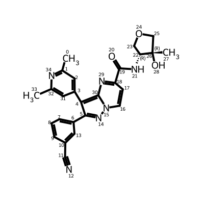 Cc1cc(-c2c(-c3cccc(C#N)c3)nn3ccc(C(=O)N[C@@H]4COC[C@]4(C)O)nc23)cc(C)n1